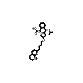 CC(C)O[C@H]1c2ccccc2[C@H](C(=O)O)N2C[C@H](OCCCCc3ccc4c(n3)NCCC4)CC12